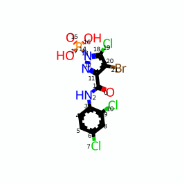 O=C(Nc1ccc(Cl)cc1Cl)c1nn(P(=O)(O)O)c(Cl)c1Br